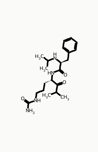 CC(C)N[C@@H](Cc1ccccc1)C(=O)N[C@@H](CCCNC(N)=O)C(=O)C(C)C